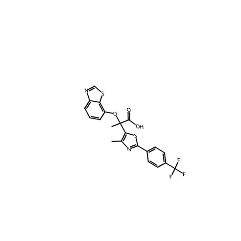 Cc1nc(-c2ccc(C(F)(F)F)cc2)sc1C(C)(Oc1cccc2ncsc12)C(=O)O